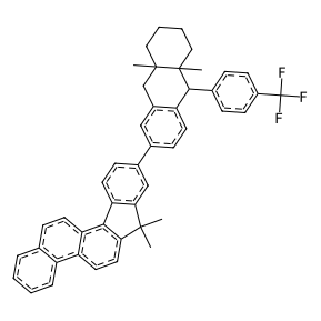 CC1(C)c2cc(-c3ccc4c(c3)CC3(C)CCCCC3(C)C4c3ccc(C(F)(F)F)cc3)ccc2-c2c1ccc1c2ccc2ccccc21